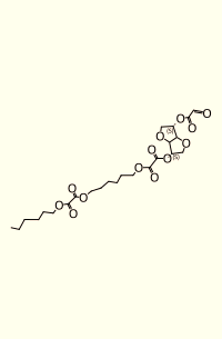 CCCCCCOC(=O)C(=O)OCCCCCCOC(=O)C(=O)O[C@H]1COC2C1OC[C@@H]2OC(=O)C=O